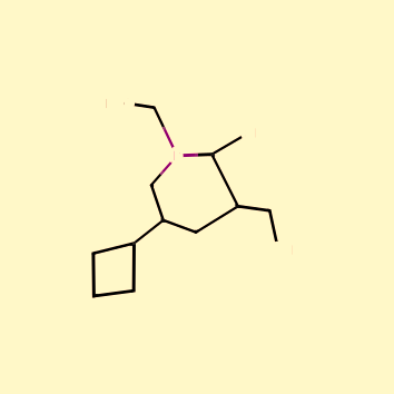 CCC1CC(C2CCC2)CP(CC)C1C